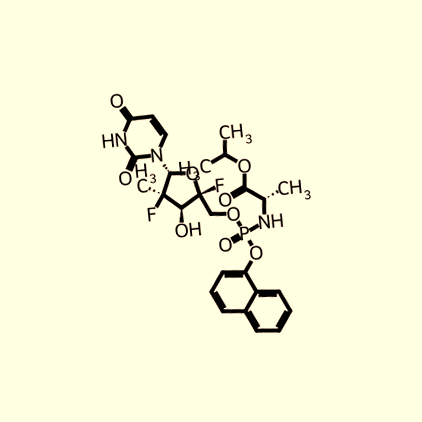 CC(C)OC(=O)[C@H](C)NP(=O)(OC[C@@]1(F)O[C@@H](n2ccc(=O)[nH]c2=O)[C@](C)(F)[C@@H]1O)Oc1cccc2ccccc12